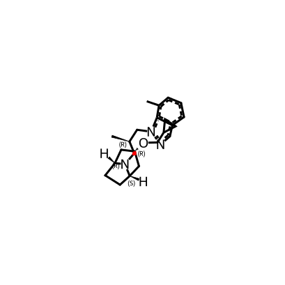 Cc1cccc2cnn(C[C@H](C)CN3[C@@H]4CC[C@H]3C[C@@H](OCC3CC3)C4)c12